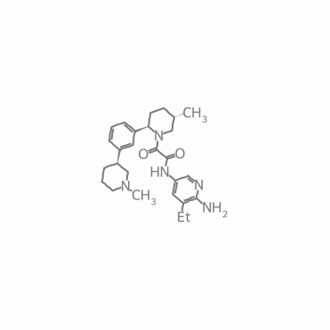 CCc1cc(NC(=O)C(=O)N2C[C@@H](C)CC[C@@H]2c2cccc([C@@H]3CCCN(C)C3)c2)cnc1N